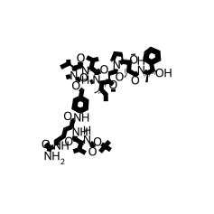 CC[C@H](C)[C@@H]([C@@H](CC(=O)N1CCC[C@H]1[C@H](OC)[C@@H](C)C(=O)N[C@H](C)[C@@H](O)c1ccccc1)OC)N(C)C(=O)[C@@H](NC(=O)[C@H](C(C)C)N(C)C(=O)OCc1ccc(NC(=O)C(CCCNC(N)=O)NC(=O)[C@@H](NC(=O)OC(C)(C)C)C(C)C)cc1)C(C)C